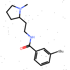 CN1CCCC1CCNC(=O)c1cccc(C(C)(C)C)c1